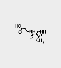 Cc1c[nH]cc1C(=O)NCCC(=O)O